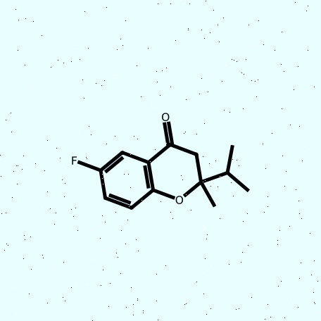 CC(C)C1(C)CC(=O)c2cc(F)ccc2O1